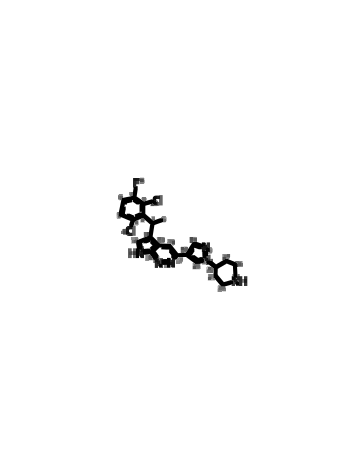 CC(c1c(Cl)ccc(F)c1Cl)c1c[nH]c2nnc(-c3cnn(C4CCNCC4)c3)cc12